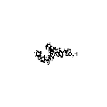 CCN(Cc1cncc(-c2ccc3c(c2)c(-c2ncc(C(=O)N4CCC(Oc5ccccc5)CC4)[nH]2)nn3C2CCCCO2)c1C)C(=O)O